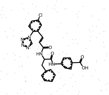 O=C(C=Cc1cc(Cl)ccc1-n1cnnn1)NC(Cc1ccccc1)C(=O)Nc1ccc(C(=O)O)cc1